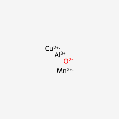 [Al+3].[Cu+2].[Mn+2].[O-2]